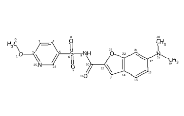 COc1ccc(S(=O)(=O)NC(=O)c2cc3ccc(N(C)C)cc3o2)cn1